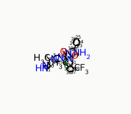 Cc1c(N2CCN(C(C)c3cc[nH]n3)CC2)c(=O)n(CC(N)c2ccccc2)c(=O)n1Cc1c(F)cccc1C(F)(F)F